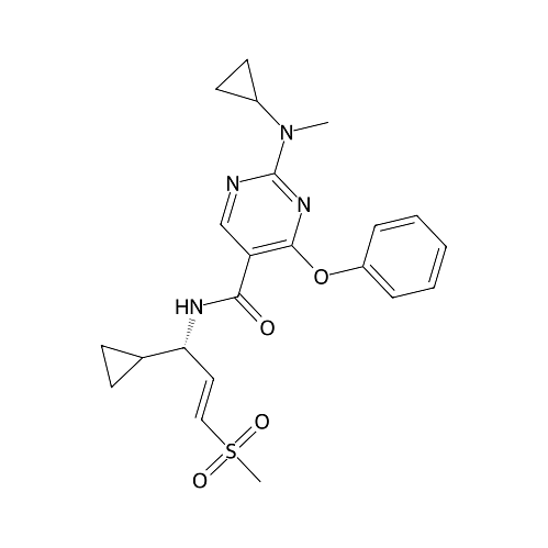 CN(c1ncc(C(=O)N[C@H](/C=C/S(C)(=O)=O)C2CC2)c(Oc2ccccc2)n1)C1CC1